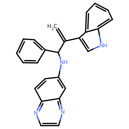 C=C(c1c[nH]c2ccccc12)C(Nc1ccc2nccnc2c1)c1ccccc1